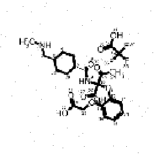 CNC[C@H]1CC[C@H](C(=O)NC(Oc2ccccc2OCC(=O)O)(C(C)=O)C(=O)O)CC1.O=C(O)C(F)(F)F